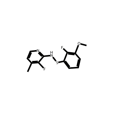 COc1cccc(SNc2nccc(C)c2F)c1F